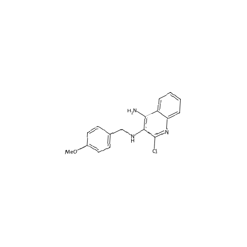 COc1ccc(CNc2c(Cl)nc3ccccc3c2N)cc1